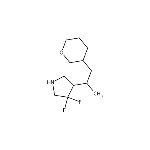 CC(CC1CCCOC1)C1CNCC1(F)F